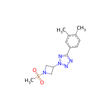 Cc1ccc(-c2nnn(C3CN(S(C)(=O)=O)C3)n2)cc1C